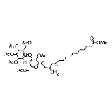 C=C(CO[C@@H]1O[C@H](COC(C)=O)[C@H](O[C@H]2O[C@H](COC(C)=O)[C@H](OC(C)=O)[C@H](OC(C)=O)[C@H]2OC(C)=O)[C@H](OC(C)=O)[C@H]1OC(C)=O)CSCCCCCCCCCCC(=O)OC